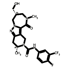 C[C@@H]1Cc2nn3c(c2CN1C(=O)Nc1ccc(F)c(C(F)(F)F)c1)C(=O)N(C)C[C@@H](CO)C3